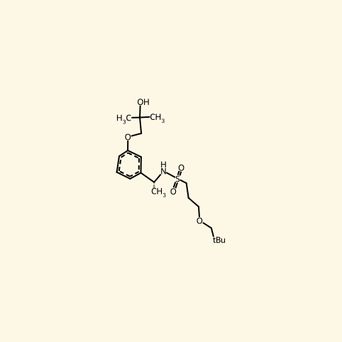 C[C@@H](NS(=O)(=O)CCCOCC(C)(C)C)c1cccc(OCC(C)(C)O)c1